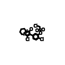 O=c1c(-c2ccc(Cl)c(OS(=O)(=O)CCl)c2)c(Cl)n2n1CCCC2